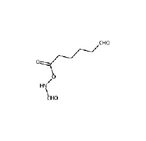 O=CCCCCC(=O)ONC=O